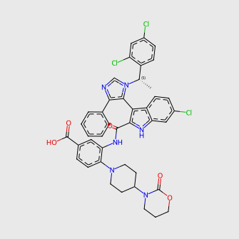 C[C@@H](c1ccc(Cl)cc1Cl)n1cnc(-c2ccccc2)c1-c1c(C(=O)Nc2cc(C(=O)O)ccc2N2CCC(N3CCCOC3=O)CC2)[nH]c2cc(Cl)ccc12